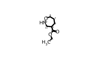 CCOC(=O)C1CCCONC1